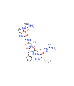 CCCC[C@H](NC(=O)[C@H](CC(C)C)NC(=O)CNC(=O)[C@@H](NC(=O)[C@H](Cc1ccccc1)NC(=O)[C@H](CCCNC(=N)N)NC(=O)[C@@H](N)CC(=O)O)C(C)C)C(N)=O